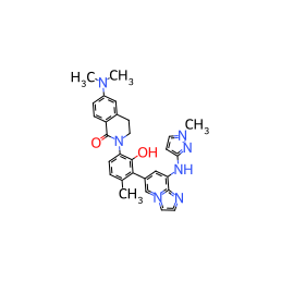 Cc1ccc(N2CCc3cc(N(C)C)ccc3C2=O)c(O)c1-c1cc(Nc2ccn(C)n2)c2nccn2c1